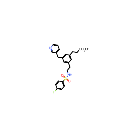 CCOC(=O)CCc1cc(CCNS(=O)(=O)c2ccc(F)cc2)cc(Cc2cccnc2)c1